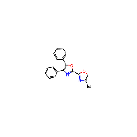 CCc1coc(-c2nc(-c3ccccc3)c(-c3ccccc3)o2)n1